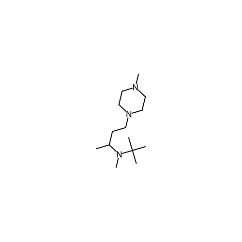 CC(CCN1CCN(C)CC1)N(C)C(C)(C)C